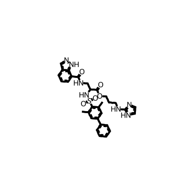 Cc1cc(-c2ccccc2)cc(C)c1S(=O)(=O)NC(CNC(=O)c1cccc2cn[nH]c12)C(=O)OCCCNc1ncc[nH]1